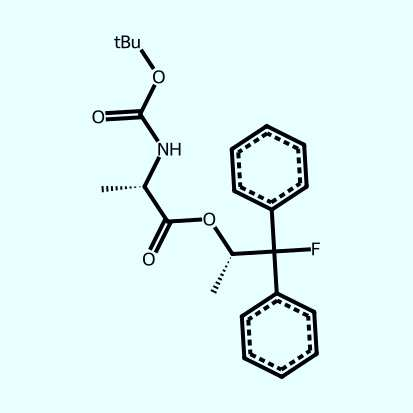 C[C@H](NC(=O)OC(C)(C)C)C(=O)O[C@@H](C)C(F)(c1ccccc1)c1ccccc1